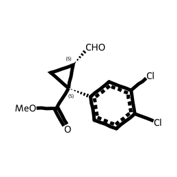 COC(=O)[C@@]1(c2ccc(Cl)c(Cl)c2)C[C@@H]1C=O